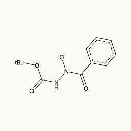 CC(C)(C)OC(=O)NN(Cl)C(=O)c1ccccc1